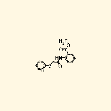 COC(=O)c1ccccc1NC(=O)CSc1ccccn1